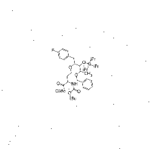 COC(=O)C(CCOC(Cc1ccc(F)cc1)C(O[Si](C(C)C)(C(C)C)C(C)C)C(C)OCc1ccccc1)NC(=O)OC(C)(C)C